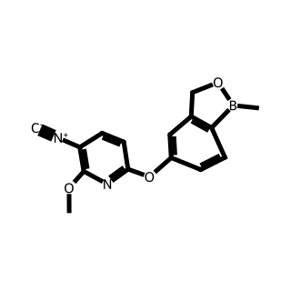 [C-]#[N+]c1ccc(Oc2ccc3c(c2)COB3C)nc1OC